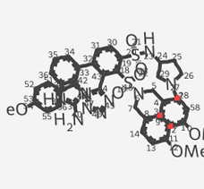 COc1ccc(CN(Cc2ccc(OC)cc2)S(=O)(=O)c2c(S(=O)(=O)NC3CCN(C)C3)ccc(-c3cccc4[nH]c(N)nc34)c2-c2nnnn2Cc2ccc(OC)cc2)cc1